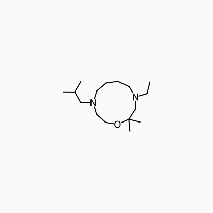 CCN1CCCCN(CC(C)C)CCOC(C)(C)C1